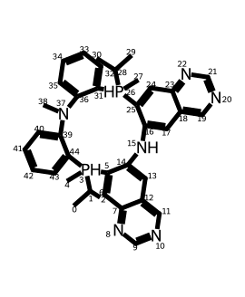 CC(C)[PH]1(C)c2cc3ncncc3cc2Nc2cc3cncnc3cc2[PH](C)(C(C)C)c2ccccc2N(C)c2ccccc21